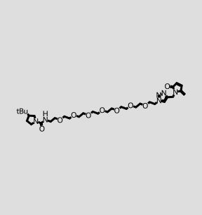 C=C1C=CC(=O)N1Cc1cn(CCOCCOCCOCCOCCOCCOCCOCCNC(=O)N2CCC(C(C)(C)C)C2)nn1